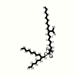 CCCCCCCCCC(CCCCCCC(F)(F)C(=O)OCC(CCCCCC)CCCCCCCC)C(C)C